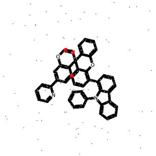 c1ccc(-n2c3ccccc3c3cccc(-c4cccc5c4Oc4ccccc4C54c5ccccc5Oc5cc(-c6ccccn6)ccc54)c32)cc1